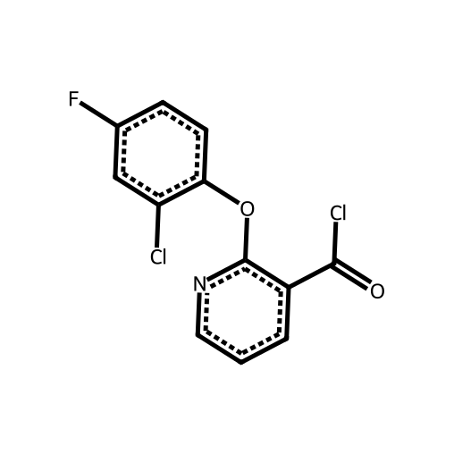 O=C(Cl)c1cccnc1Oc1ccc(F)cc1Cl